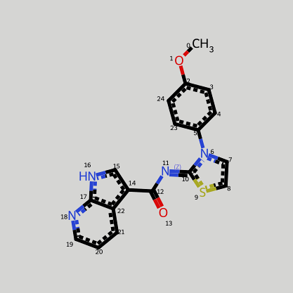 COc1ccc(-n2ccs/c2=N\C(=O)c2c[nH]c3ncccc23)cc1